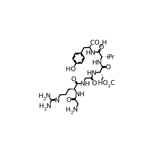 CC(C)[C@H](NC(=O)[C@H](CC(=O)O)NC(=O)CNC(=O)[C@H](CCCN=C(N)N)NC(=O)CN)C(=O)N[C@@H](Cc1ccc(O)cc1)C(=O)O